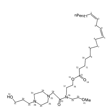 CCCCC/C=C\C/C=C\CCCCCCCC(=O)OCCN(CCOC)C(=O)CN1CCN(CCCO)CC1